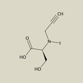 C#CCN(I)[C@@H](CO)C(=O)O